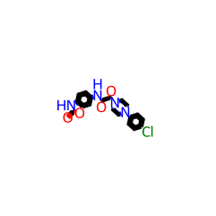 O=C(Nc1ccc2[nH]c(=O)oc2c1)C(=O)N1CCN(c2ccc(Cl)cc2)CC1